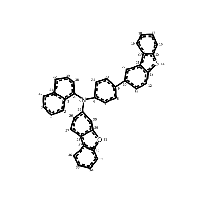 c1ccc2c(N(c3ccc(-c4ccc5sc6ccccc6c5c4)cc3)c3ccc4c(c3)oc3ccccc34)cccc2c1